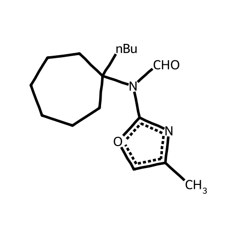 CCCCC1(N(C=O)c2nc(C)co2)CCCCCC1